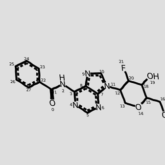 O=C(Nc1ncnc2c1ncn2C1COC(CO)C(O)C1F)c1ccccc1